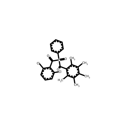 Cc1c(C)c(C)c(C(=O)P(=O)(C(=O)c2c(Cl)cccc2Cl)c2ccccc2)c(C)c1C